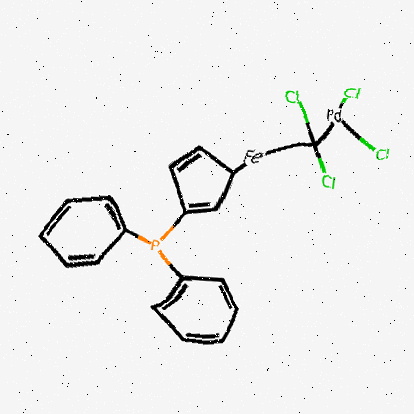 [Cl][Pd]([Cl])[C](Cl)(Cl)[Fe][CH]1C=CC(P(c2ccccc2)c2ccccc2)=C1